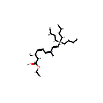 CCC[CH2][Sn](/[CH]=C/C(C)=C\C=C/[C@H](C)CC(=O)OCC)([CH2]CCC)[CH2]CCC